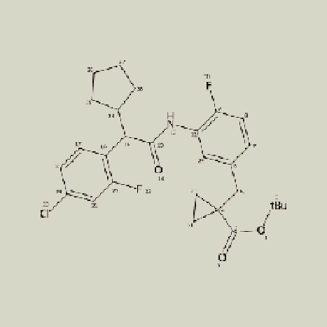 CC(C)(C)OC(=O)C1(Cc2ccc(F)c(NC(=O)C(c3ccc(Cl)cc3F)C3CCCC3)c2)CC1